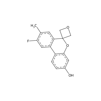 Cc1cc2c(cc1F)-c1ccc(O)cc1OC21COC1